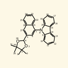 CC1(C)OC(c2cc(-n3c4ccccc4c4ccccc43)c3ccccc3c2)OC1(C)C